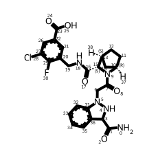 NC(=O)C1NN(CC(=O)N2[C@@H]3CC[C@@H](C3)[C@H]2C(=O)NCc2cc(C(=O)O)cc(Cl)c2F)c2ccccc21